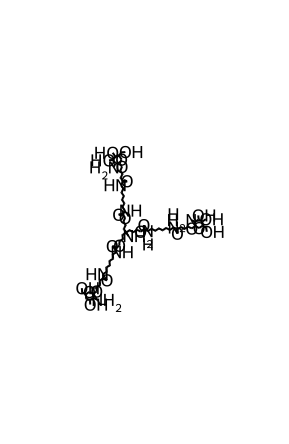 NC1C(O)CC(CO)OC1OCCCC(=O)NCCCCCCNC(=O)OCCCC(N)(CCCOC(=O)NCCCCCCNC(=O)CCCOC1OC(CO)C(O)C(O)C1N)CCCOC(=O)NCCCCCCNC(=O)CCCOC1OC(CO)C(O)C(O)C1N